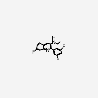 CCNc1cc2ccc(F)cc2nc1-c1cc(F)cc(F)c1